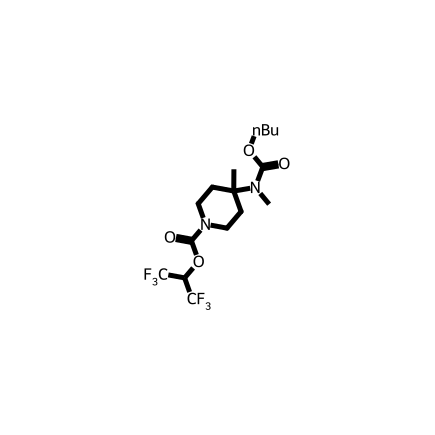 CCCCOC(=O)N(C)C1(C)CCN(C(=O)OC(C(F)(F)F)C(F)(F)F)CC1